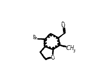 Cc1c(C=O)cc(Br)c2c1OCC2